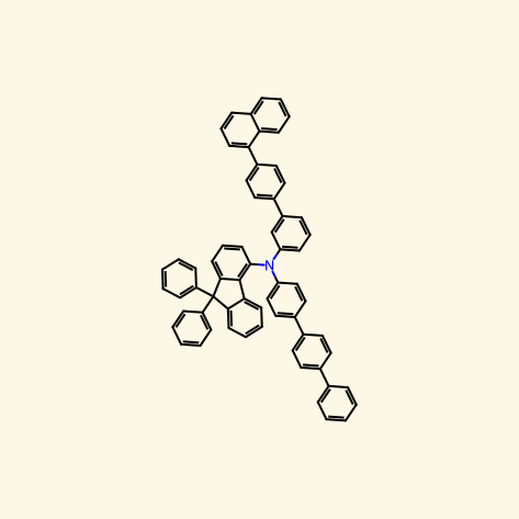 c1ccc(-c2ccc(-c3ccc(N(c4cccc(-c5ccc(-c6cccc7ccccc67)cc5)c4)c4cccc5c4-c4ccccc4C5(c4ccccc4)c4ccccc4)cc3)cc2)cc1